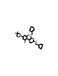 CC1(C)C=NN(c2cc(F)c(-c3ccc(OCc4ccccc4)nc3OCc3ccccc3)c(F)c2)C1